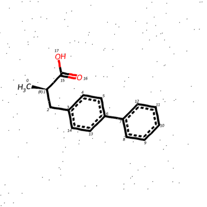 C[C@H](Cc1ccc(-c2ccccc2)cc1)C(=O)O